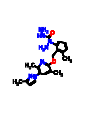 Cc1ccn(-c2cc(C)c(OCc3c(C)cccc3N(N)C(=O)NN)nc2C)n1